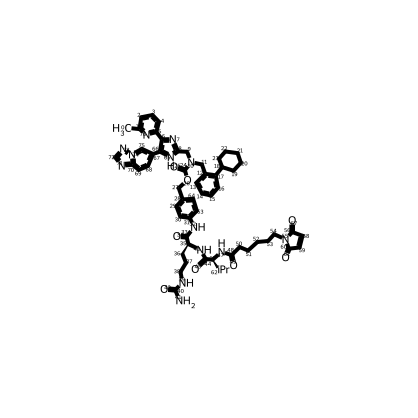 Cc1cccc(-c2nc(CN(Cc3ccccc3C3CCCCC3)C(=O)OCc3ccc(NC(=O)[C@H](CCCNC(N)=O)NC(=O)[C@@H](NC(=O)CCCCCN4C(=O)C=CC4=O)C(C)C)cc3)[nH]c2-c2ccc3ncnn3c2)n1